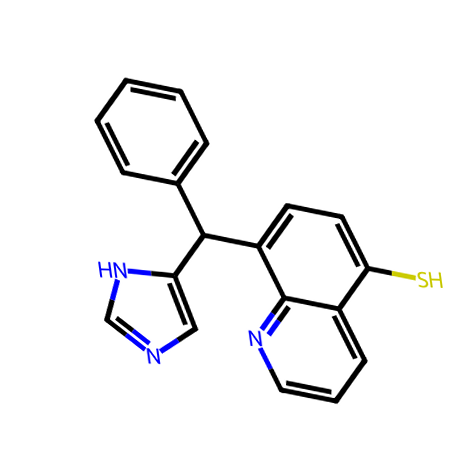 Sc1ccc(C(c2ccccc2)c2cnc[nH]2)c2ncccc12